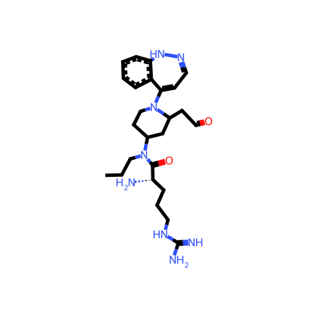 CCCN(C(=O)[C@@H](N)CCCNC(=N)N)C1CCN(C2=CC=NNc3ccccc32)C(CC=O)C1